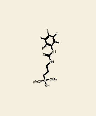 CO[Si](O)(CCCNC(=O)Nc1c(F)c(F)c(F)c(F)c1F)OC